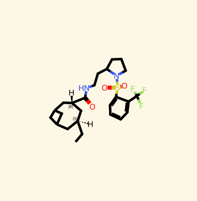 CC[C@H]1CC2CC(C2)C[C@H](C(=O)NCCC2CCCN2S(=O)(=O)c2ccccc2C(F)(F)F)C1